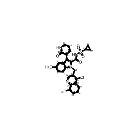 Cc1ccc2c(c1)c(-c1ccc[nH]c1=O)c(C(=O)NS(=O)(=O)C1CC1)n2Cc1cnc2c(F)cccc2c1Cl